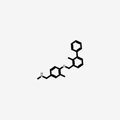 CNCc1ccc(OCc2cccc(-c3ccccc3)c2C)c(C)c1